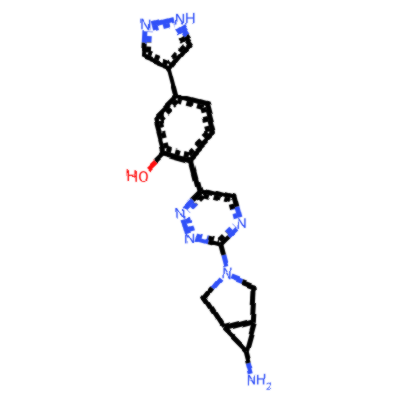 NC1C2CN(c3ncc(-c4ccc(-c5cn[nH]c5)cc4O)nn3)CC12